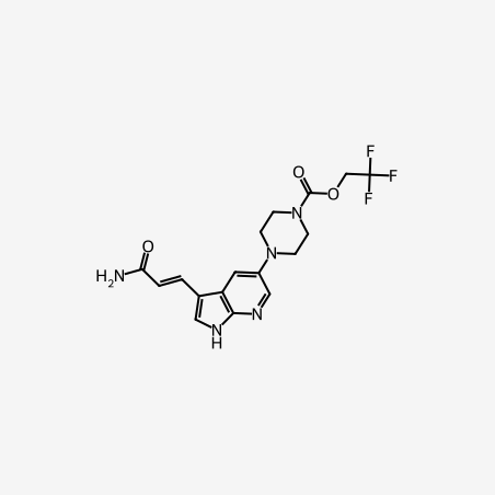 NC(=O)C=Cc1c[nH]c2ncc(N3CCN(C(=O)OCC(F)(F)F)CC3)cc12